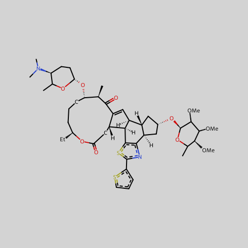 CC[C@H]1CCC[C@H](O[C@H]2CC[C@H](N(C)C)C(C)O2)[C@@H](C)C(=O)C2=C[C@H]3[C@@H]4C[C@H](O[C@@H]5OC(C)[C@H](OC)C(OC)C5OC)C[C@H]4c4nc(-c5cccs5)sc4[C@H]3[C@@H]2CC(=O)O1